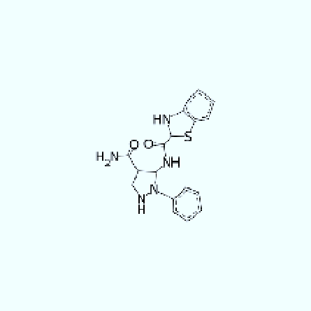 NC(=O)C1CNN(c2ccccc2)C1NC(=O)C1Nc2ccccc2S1